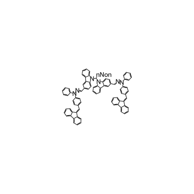 CCCCCCCCCC(n1c2ccccc2c2cc(/C=N/N(c3ccccc3)c3ccc(C=C4c5ccccc5-c5ccccc54)cc3)ccc21)n1c2ccccc2c2cc(/C=N/N(c3ccccc3)c3ccc(C=C4c5ccccc5-c5ccccc54)cc3)ccc21